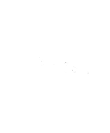 COC(=O)c1ccc(CN2C[C@@H](C)N(CC(C)(C)O)[C@@H](C)C2)cc1